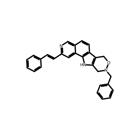 C(=C\c1cc2c(ccc3c4c([nH]c32)CN(Cc2ccccc2)OC4)cn1)/c1ccccc1